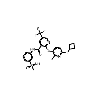 Cc1nc(OC2CCC2)ccc1Oc1ncc(C(F)(F)F)cc1C(=O)Nc1cccc(S(C)(=N)=O)c1